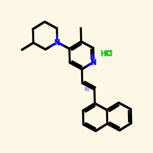 Cc1cnc(/C=C/c2cccc3ccccc23)cc1N1CCCC(C)C1.Cl